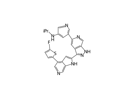 CC(C)Nc1cncc(-c2cc3c(-c4cc5c(-c6ccc(F)s6)cncc5[nH]4)n[nH]c3cn2)c1